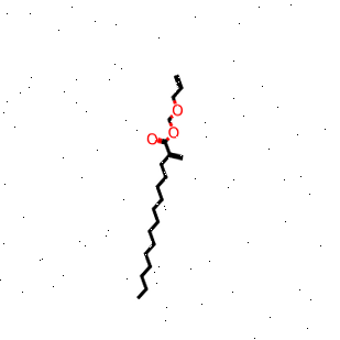 C=CCOCOC(=O)C(=C)CCCCCCCCCCCCC